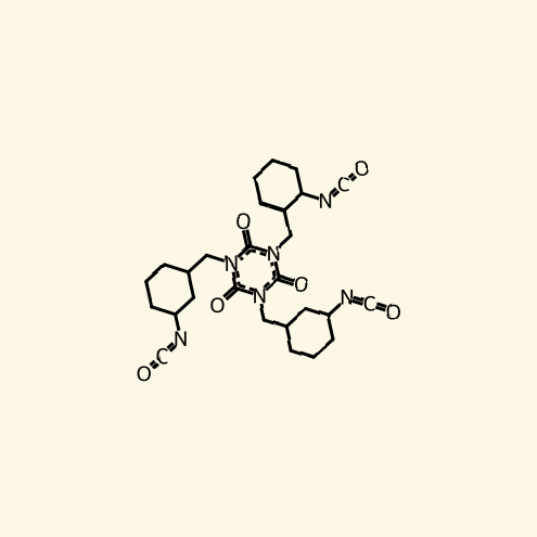 O=C=NC1CCCC(Cn2c(=O)n(CC3CCCC(N=C=O)C3)c(=O)n(CC3CCCCC3N=C=O)c2=O)C1